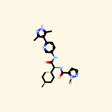 CCn1nccc1C(=O)N[C@H](C(=O)Nc1ccc(-c2c(C)n[nH]c2C)nc1)[C@H]1CC[C@H](C)CC1